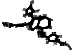 CC#Cc1sc2c(NC3CCN(C)CC3)cccc2c1-n1cccc1